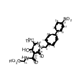 CCCc1nn(Cc2ccc(-c3ccc([N+](=O)[O-])cc3)cc2)c(=O)c(C(=O)NCC(=O)O)c1O